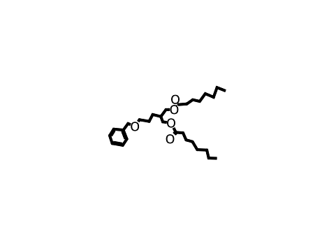 CCCCCCCC(=O)OCC(CCCOCc1ccccc1)COC(=O)CCCCCCC